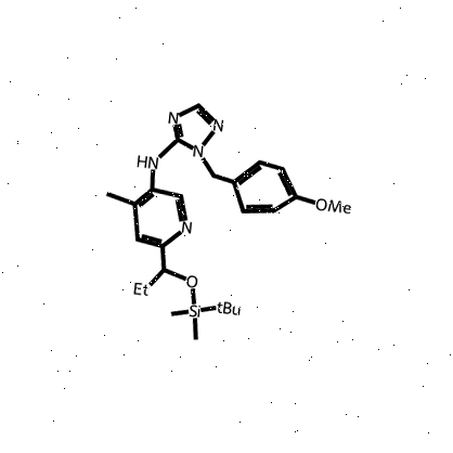 CCC(O[Si](C)(C)C(C)(C)C)c1cc(C)c(Nc2ncnn2Cc2ccc(OC)cc2)cn1